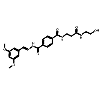 COc1cc(C=NNC(=O)c2ccc(C(=O)NCCC(=O)NCCO)cc2)cc(OC)c1